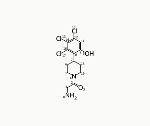 NCC(=O)N1CCC(c2c(O)cc(Cl)c(Cl)c2Cl)CC1